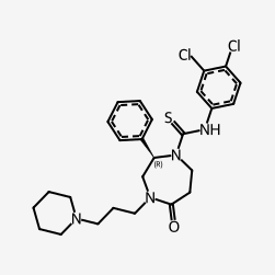 O=C1CCN(C(=S)Nc2ccc(Cl)c(Cl)c2)[C@H](c2ccccc2)CN1CCCN1CCCCC1